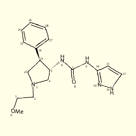 COCCN1C[C@@H](NC(=O)Nc2cc[nH]n2)[C@H](c2ccccc2)C1